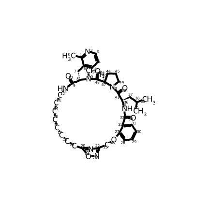 Cc1ncccc1C[C@H]1C(=O)NCCCCCCCCc2nc(no2)COc2ccccc2C(=O)N[C@H](CC(C)C)C(=O)N2CCC[C@@H]2C(=O)N1C